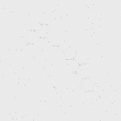 O=C(Nc1ccc(Cl)cc1)N1CC2=C(Oc3ccnc4ccc(F)cc34)CC2C1